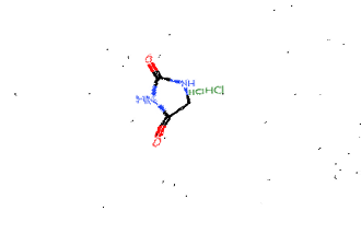 Cl.Cl.O=C1CNC(=O)N1